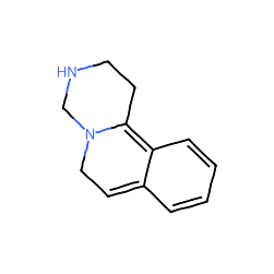 C1=c2ccccc2=C2CCNCN2C1